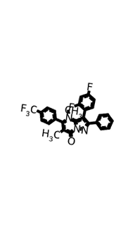 Cc1c(-c2ccc(C(F)(F)F)cc2)n(C)c2c(-c3ccc(F)cc3F)c(-c3ccccc3)nn2c1=O